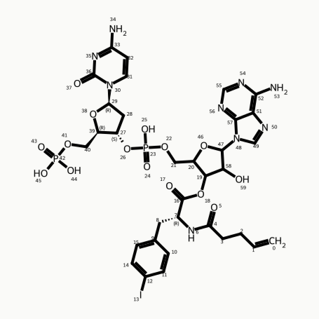 C=CCCC(=O)N[C@H](Cc1ccc(I)cc1)C(=O)OC1C(COP(=O)(O)O[C@H]2C[C@H](n3ccc(N)nc3=O)O[C@@H]2COP(=O)(O)O)OC(n2cnc3c(N)ncnc32)C1O